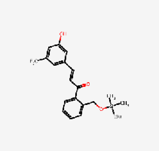 CC(C)(C)[Si](C)(C)OCc1ccccc1C(=O)/C=C/c1cc(O)cc(C(F)(F)F)c1